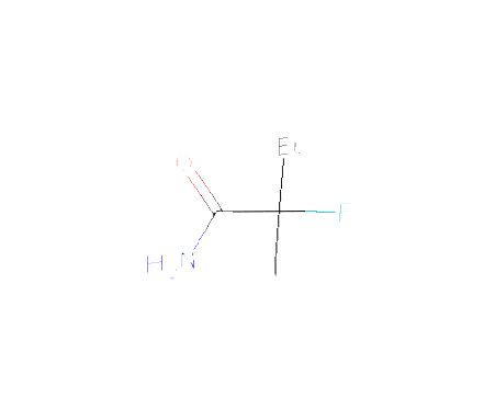 CCC(C)(F)C(N)=O